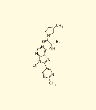 CC[C@H](Nc1ncnc2c1nc(-c1cnc(C)nc1)n2CC)C(=O)N1CCC(C)C1